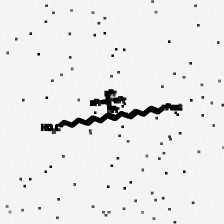 CCCCCC=CCC=CCC=CCC=CCCCC(=O)O.CCC[N+](CCC)(CCC)CCC